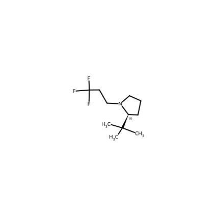 CC(C)(C)[C@@H]1CCCN1CCC(F)(F)F